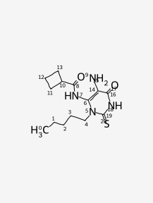 CCCCCn1c(NC(=O)C2CCC2)c(N)c(=O)[nH]c1=S